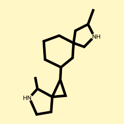 CC1CC2(CCCC(C3CC34CCNC4C)C2)CN1